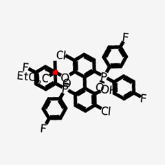 CCOC(=O)C(C)Oc1c(Cl)ccc(P(=O)(c2ccc(F)cc2)c2ccc(F)cc2)c1-c1c(P(=O)(c2ccc(F)cc2)c2ccc(F)cc2)ccc(Cl)c1O